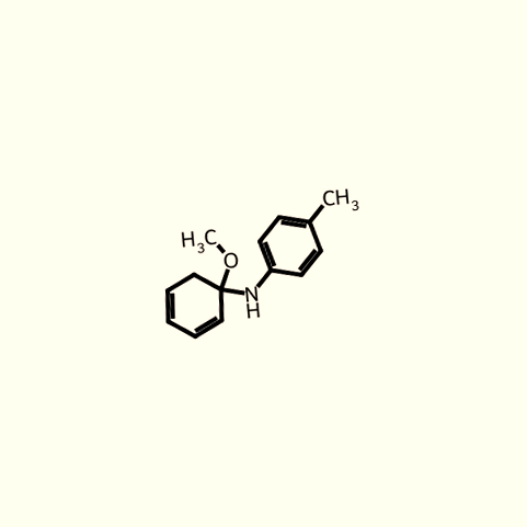 COC1(Nc2ccc(C)cc2)C=CC=CC1